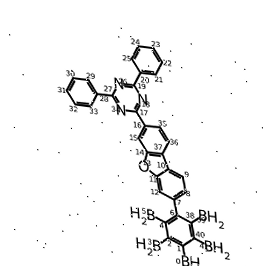 Bc1c(B)c(B)c(-c2ccc3c(c2)oc2cc(-c4nc(-c5ccccc5)nc(-c5ccccc5)n4)ccc23)c(B)c1B